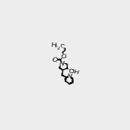 C=CCOC(=O)N1CC(Cc2ccccn2)[C@@H](O)C1